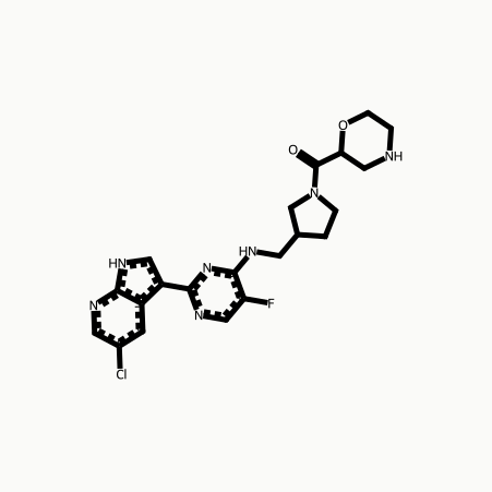 O=C(C1CNCCO1)N1CCC(CNc2nc(-c3c[nH]c4ncc(Cl)cc34)ncc2F)C1